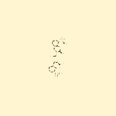 O=C(Sc1cc2cccc([N+](=O)[O-])c2oc1=O)c1cc2cccc([N+](=O)[O-])c2sc1=O